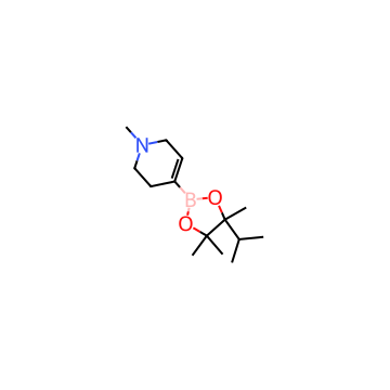 CC(C)C1(C)OB(C2=CCN(C)CC2)OC1(C)C